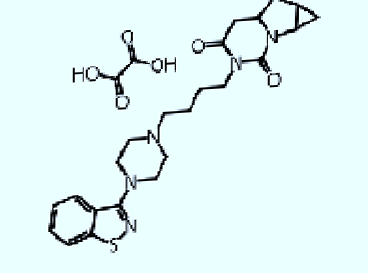 O=C(O)C(=O)O.O=C1CC2CC3CC3N2C(=O)N1CCCCN1CCN(c2nsc3ccccc23)CC1